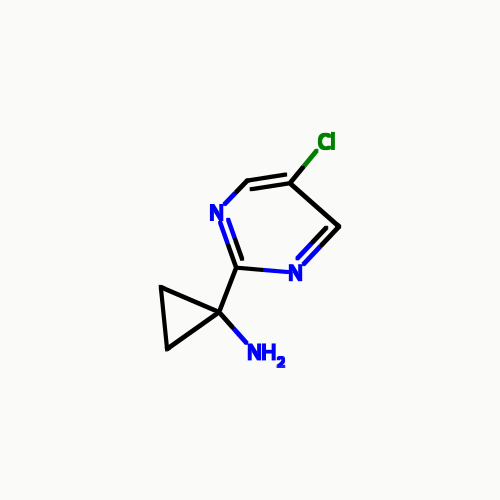 NC1(c2ncc(Cl)cn2)CC1